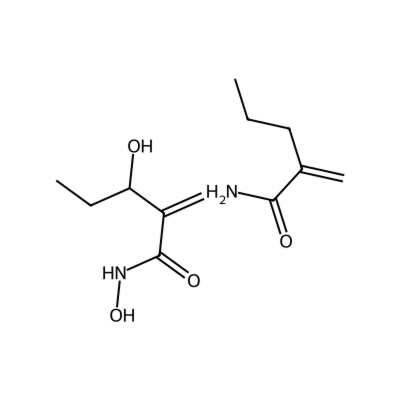 C=C(C(=O)NO)C(O)CC.C=C(CCC)C(N)=O